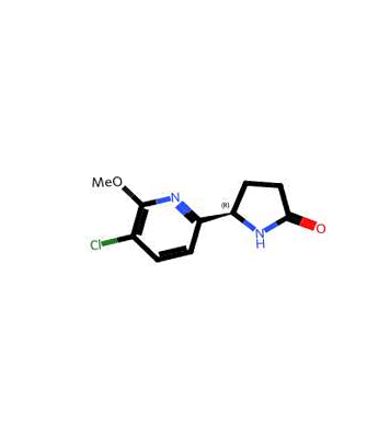 COc1nc([C@H]2CCC(=O)N2)ccc1Cl